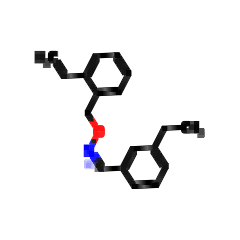 C=Cc1ccccc1CO/N=[C]\c1cccc(CC)c1